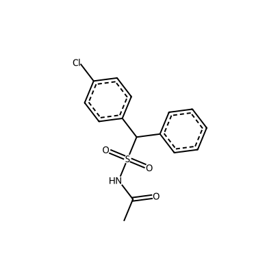 CC(=O)NS(=O)(=O)C(c1ccccc1)c1ccc(Cl)cc1